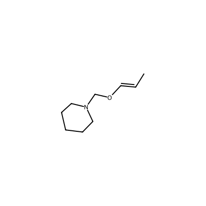 C/C=C/OCN1CCCCC1